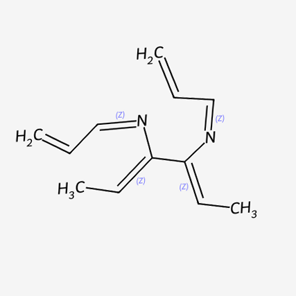 C=C\C=N/C(=C\C)C(=C/C)/N=C\C=C